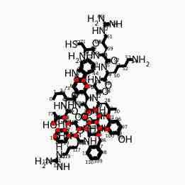 CC[C@H](C)[C@H](NC(=O)[C@@H](NC(=O)[C@H](Cc1ccccc1)NC(=O)[C@@H](NC(=O)[C@H](CC(C)C)NC(=O)[C@H](Cc1c[nH]c2ccccc12)NC(=O)[C@H](CCCCN)NC(=O)[C@H](CCCNC(=N)N)NC(=O)[C@@H](N)CS)C(C)C)C(C)C)C(=O)N[C@@H](Cc1ccccc1)C(=O)N[C@@H](Cc1ccc(O)cc1)C(=O)N[C@@H](Cc1ccccc1)C(=O)N[C@@H](CCCNC(=N)N)C(=O)N[C@@H](CS)C(=O)O